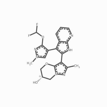 Cc1nn2c(c1-c1[nH]c3ncccc3c1-c1cn(C)nc1OC(F)F)OC[C@@H](O)C2